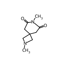 CN1CC2(CC(=O)N(C)C(=O)C2)C1